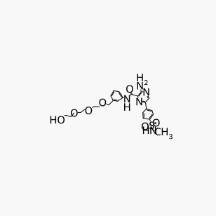 CNS(=O)(=O)c1ccc(-c2cnc(N)c(C(=O)Nc3cccc(COCCOCCOCCO)c3)n2)cc1